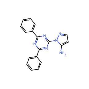 Nc1ccnn1-c1nc(-c2ccccc2)nc(-c2ccccc2)n1